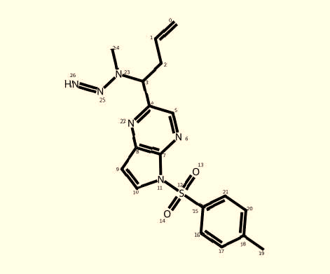 C=CCC(c1cnc2c(ccn2S(=O)(=O)c2ccc(C)cc2)n1)N(C)N=N